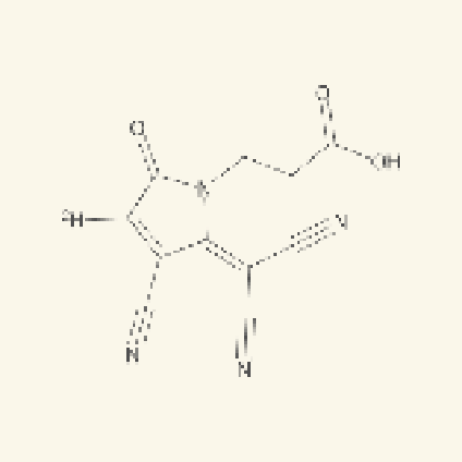 [2H]C1=C(C#N)C(=C(C#N)C#N)N(CCC(=O)O)C1=O